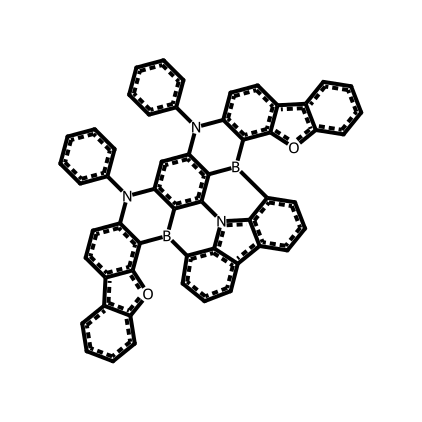 c1ccc(N2c3cc4c5c6c3B(c3c2ccc2c3oc3ccccc32)c2cccc3c7cccc(c7n-6c23)B5c2c(ccc3c2oc2ccccc23)N4c2ccccc2)cc1